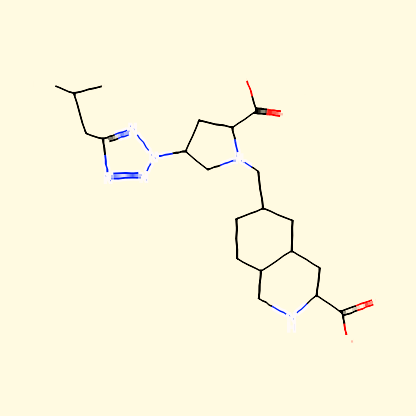 CC(C)Cc1nnn(C2CC(C(=O)O)N(CC3CCC4CNC(C(=O)O)CC4C3)C2)n1.Cl